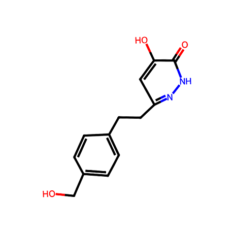 O=c1[nH]nc(CCc2ccc(CO)cc2)cc1O